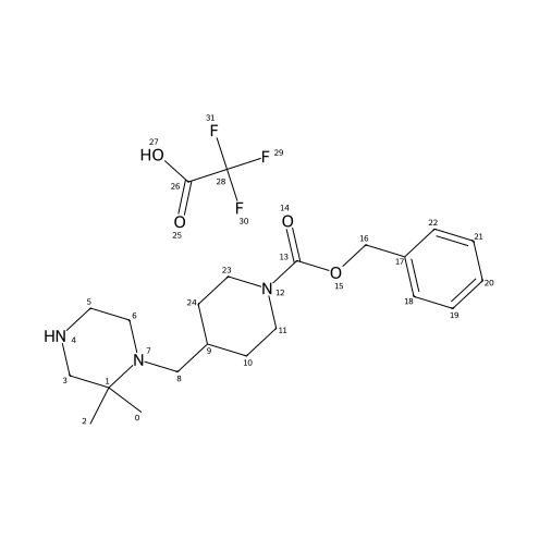 CC1(C)CNCCN1CC1CCN(C(=O)OCc2ccccc2)CC1.O=C(O)C(F)(F)F